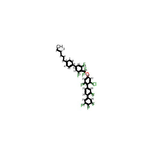 CCCCCCc1ccc(-c2cc(F)c(C(F)(F)Oc3cc(F)c(-c4ccc(-c5cc(F)c(F)c(F)c5)c(F)c4)c(Cl)c3)c(F)c2)cc1